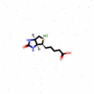 Cl.O=C(O)CCCC[C@@H]1SC[C@@H]2NC(=O)N[C@@H]21